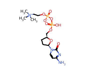 C[N+](C)(C)CCOP(=O)([O-])OP(=O)(O)OC[C@@H]1CC[C@H](n2ccc(N)nc2=O)O1